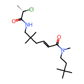 C[C@H](Cl)C(=O)NCC(C)(C)CC=CC(=O)N(C)CCC(C)(C)C